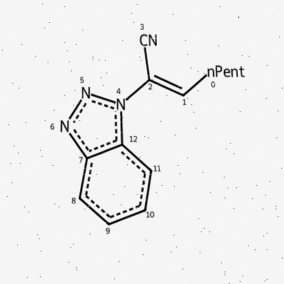 CCCCCC=C(C#N)n1nnc2ccccc21